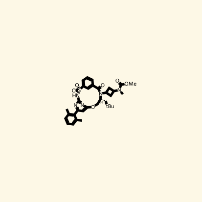 COC(=O)N(C)C1CC(N2C(=O)c3cccc(c3)S(=O)(=O)Nc3nc(cc(-c4c(C)cccc4C)n3)OC[C@H]2CC(C)(C)C)C1